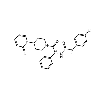 O=C(Nc1ccc(Cl)cc1)N[C@@H](C(=O)N1CCC(n2ccccc2=O)CC1)c1ccccc1